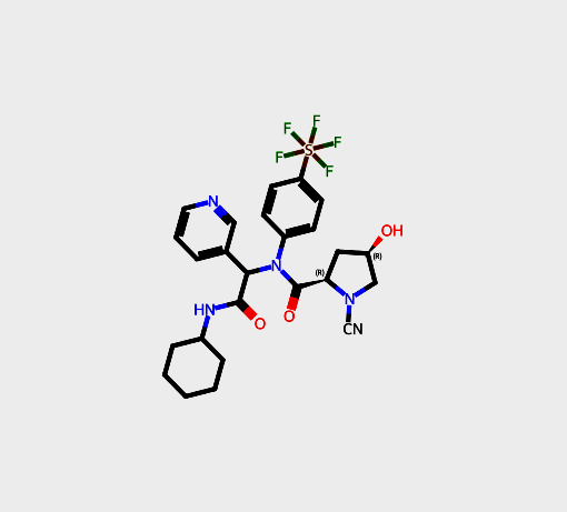 N#CN1C[C@H](O)C[C@@H]1C(=O)N(c1ccc(S(F)(F)(F)(F)F)cc1)C(C(=O)NC1CCCCC1)c1cccnc1